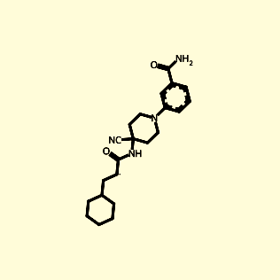 N#CC1(NC(=O)[CH]CC2CCCCC2)CCN(c2cccc(C(N)=O)c2)CC1